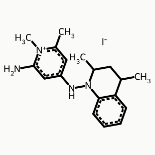 Cc1cc(NN2c3ccccc3C(C)CC2C)cc(N)[n+]1C.[I-]